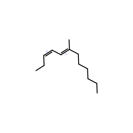 CC/C=C\C=C(/C)CCCCCC